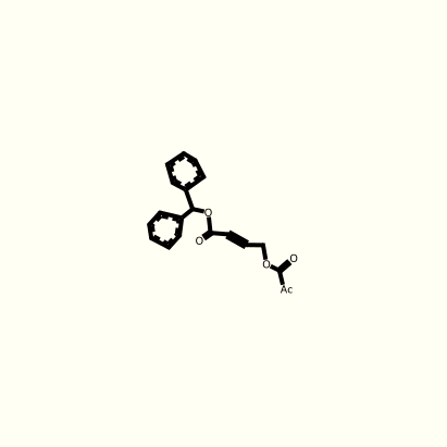 CC(=O)C(=O)OCC#CC(=O)OC(c1ccccc1)c1ccccc1